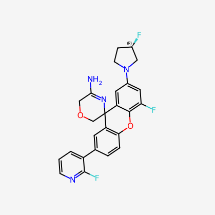 NC1=NC2(COC1)c1cc(-c3cccnc3F)ccc1Oc1c(F)cc(N3CC[C@@H](F)C3)cc12